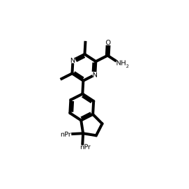 CCCC1(CCC)CCc2cc(-c3nc(C(N)=O)c(C)nc3C)ccc21